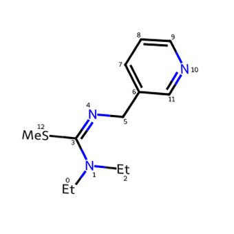 CCN(CC)C(=NCc1cccnc1)SC